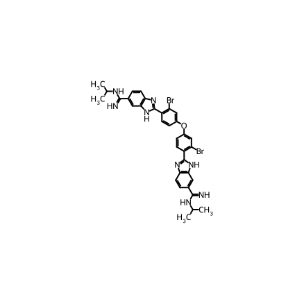 CC(C)NC(=N)c1ccc2nc(-c3ccc(Oc4ccc(-c5nc6ccc(C(=N)NC(C)C)cc6[nH]5)c(Br)c4)cc3Br)[nH]c2c1